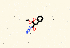 CCOC(=O)C(Cc1ccccc1)C(=O)N=[N+]=[N-]